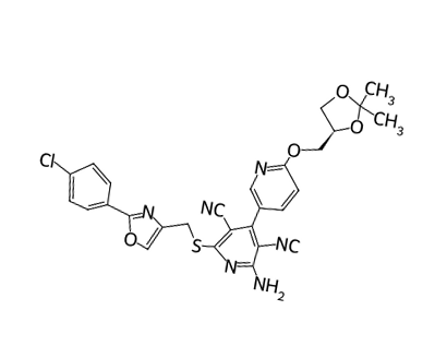 [C-]#[N+]c1c(N)nc(SCc2coc(-c3ccc(Cl)cc3)n2)c(C#N)c1-c1ccc(OC[C@H]2COC(C)(C)O2)nc1